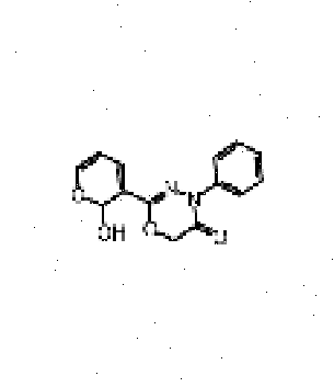 O=C1COC(C2=CC=COC2O)=NN1c1ccccc1